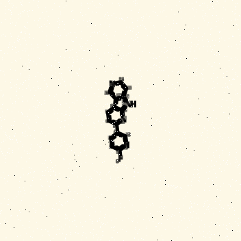 Fc1ccc(-c2ccc3c(n2)[nH]c2ccncc23)cn1